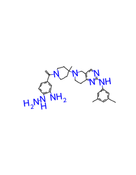 C=C(c1ccc(NN)c(N)c1)N1CCC(C)(N2CCc3nc(Nc4cc(C)cc(C)c4)ncc3C2)CC1